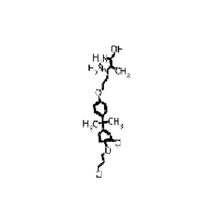 C/C(=C(/N)CO)N(N)CCCOc1ccc(C(C)(C)c2ccc(OCCCCl)c(Cl)c2)cc1